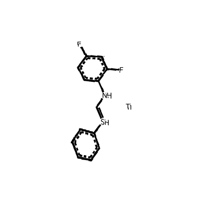 Fc1[c]c(F)c(NC=[SH]c2ccccc2)cc1.[Ti]